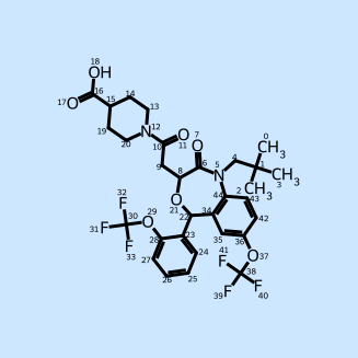 CC(C)(C)CN1C(=O)C(CC(=O)N2CCC(C(=O)O)CC2)OC(c2ccccc2OC(F)(F)F)c2cc(OC(F)(F)F)ccc21